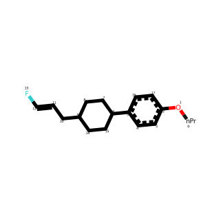 CCCOc1ccc(C2CCC(CC=CF)CC2)cc1